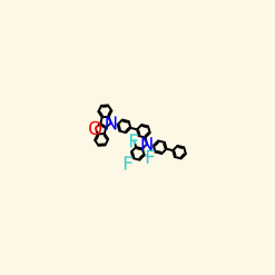 Fc1cc(F)c(N(c2ccc(-c3ccccc3)cc2)c2cccc(-c3ccc(-n4c5ccccc5c5oc6ccccc6c54)cc3)c2)c(F)c1